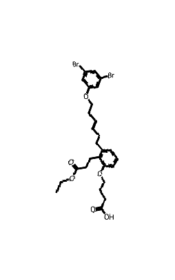 CCOC(=O)CCc1c(CCCCCCOc2cc(Br)cc(Br)c2)cccc1OCCCC(=O)O